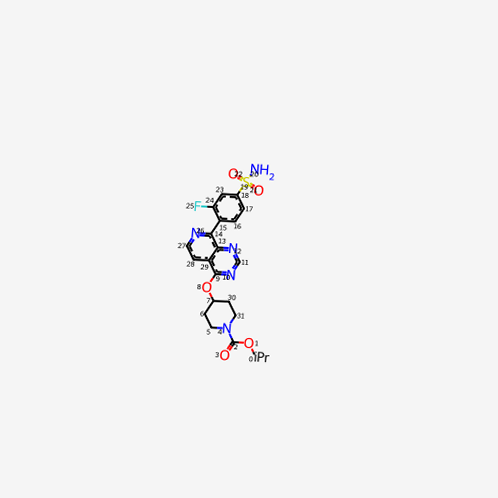 CC(C)OC(=O)N1CCC(Oc2ncnc3c(-c4ccc(S(N)(=O)=O)cc4F)nccc23)CC1